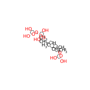 CC(C)(O)[C@@H](CCCC1CCC2[C@@H]3CC=C4C(CC[C@H](O[C@H]5C[C@@H](O)C[C@@H](CO)O5)C4(C)C)[C@]3(C)CC[C@]12C)O[C@H]1C[C@@H](O)C[C@@H](CO[C@H]2C[C@@H](O)C[C@@H](CO)O2)O1